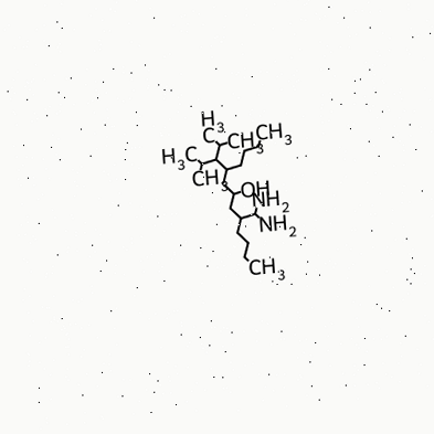 CCCCC(CC(O)CC(CCCC)C(C(C)C)C(C)C)C(N)N